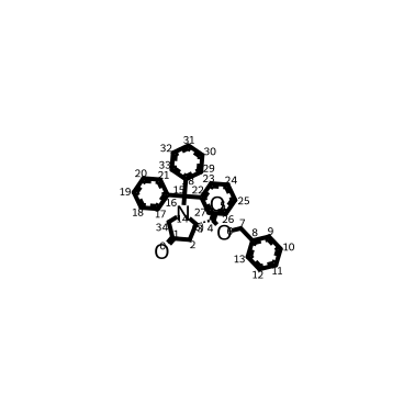 O=C1C[C@@H](C(=O)OCc2ccccc2)N(C(c2ccccc2)(c2ccccc2)c2ccccc2)C1